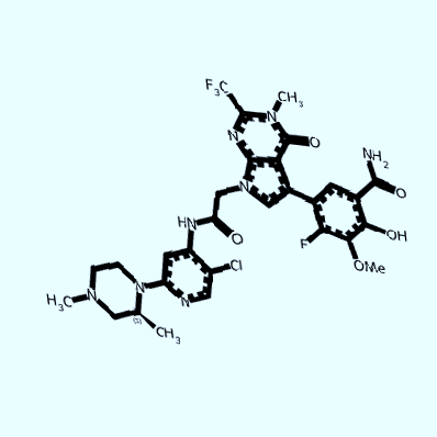 COc1c(O)c(C(N)=O)cc(-c2cn(CC(=O)Nc3cc(N4CCN(C)C[C@@H]4C)ncc3Cl)c3nc(C(F)(F)F)n(C)c(=O)c23)c1F